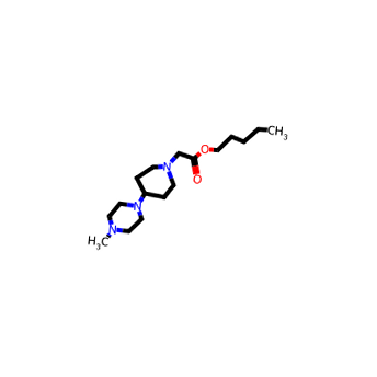 CCCCCOC(=O)CN1CCC(N2CCN(C)CC2)CC1